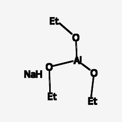 CC[O][Al]([O]CC)[O]CC.[NaH]